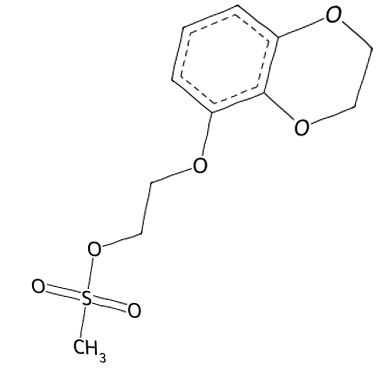 CS(=O)(=O)OCCOc1cccc2c1OCCO2